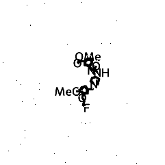 COC(=O)c1ccc2oc(NC3CCN(Cc4ccc(OC)c(OCCF)c4)CC3)nc2c1